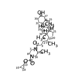 C[C@H](CCC(=O)N1CCN(C(=O)OC2CC2)C[C@@H]1C)[C@H]1CC[C@H]2[C@@H]3CC=C4C[C@@H](O)CC[C@]4(C)[C@H]3CC[C@]12C